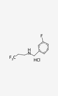 Cl.Fc1cccc(CNCCC(F)(F)F)c1